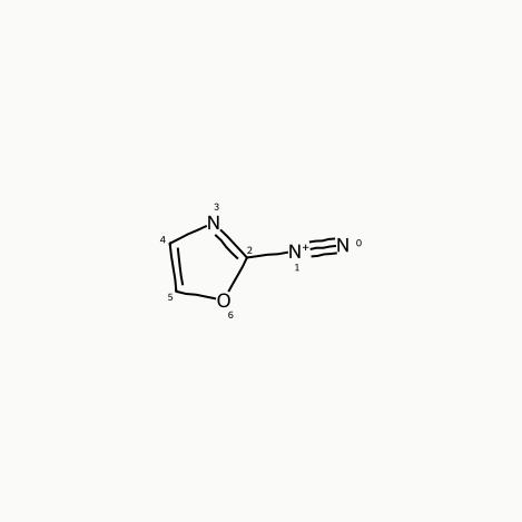 N#[N+]c1ncco1